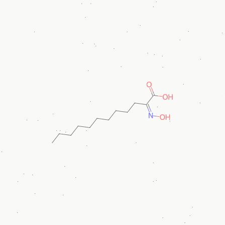 CCCCCCCCCCC(=NO)C(=O)O